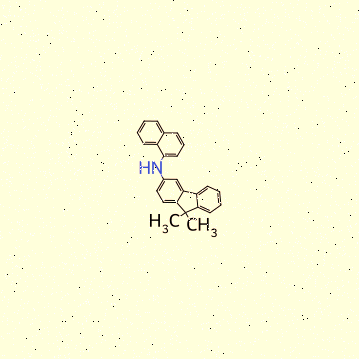 CC1(C)c2ccccc2-c2cc(Nc3cccc4ccccc34)ccc21